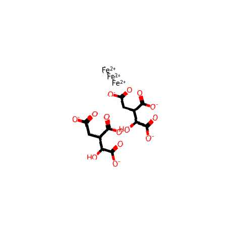 O=C([O-])CC(C(=O)[O-])C(O)C(=O)[O-].O=C([O-])CC(C(=O)[O-])C(O)C(=O)[O-].[Fe+2].[Fe+2].[Fe+2]